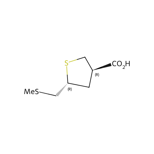 CSC[C@H]1C[C@H](C(=O)O)CS1